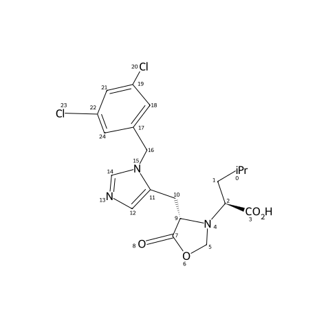 CC(C)C[C@@H](C(=O)O)N1COC(=O)[C@@H]1Cc1cncn1Cc1cc(Cl)cc(Cl)c1